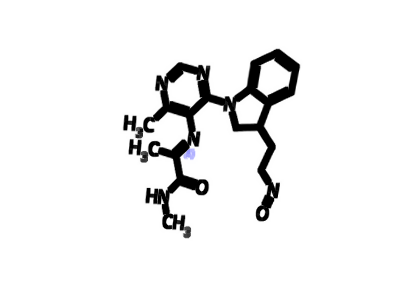 CNC(=O)/C(C)=N/c1c(C)ncnc1N1CC(CCN=O)c2ccccc21